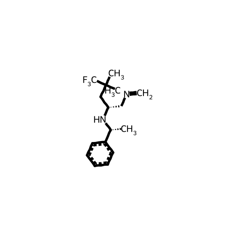 C=NC[C@@H](CC(C)(C)C(F)(F)F)N[C@H](C)c1ccccc1